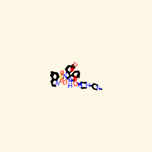 CCOc1ccccc1C1(NC(=O)ON2CCN(C3CCN(C)CC3)CC2)C(=O)N(S(=O)(=O)c2cccc3cccnc23)c2ccc(OC)cc21